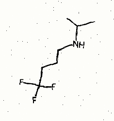 CC(C)NCCCC(F)(F)F